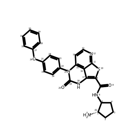 N[C@H]1CCCC1NC(=O)c1sc2nccc3c2c1NC(=O)N3c1ccc(Oc2ccccc2)cc1